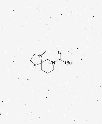 CN1CCSC12CCCN(C(=O)C(C)(C)C)C2